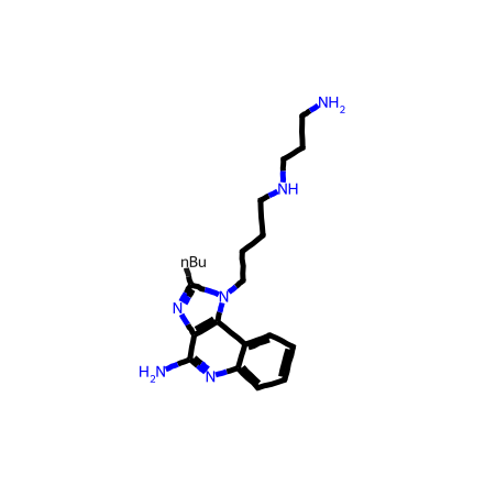 CCCCc1nc2c(N)nc3ccccc3c2n1CCCCNCCCN